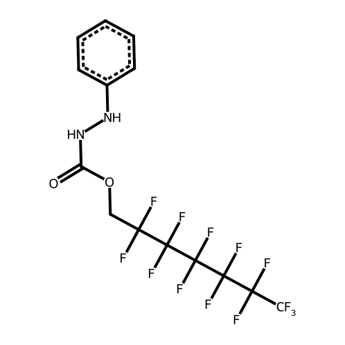 O=C(NNc1ccccc1)OCC(F)(F)C(F)(F)C(F)(F)C(F)(F)C(F)(F)C(F)(F)F